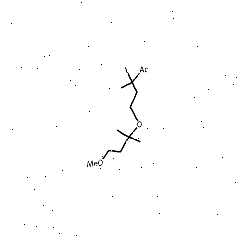 COCCC(C)(C)OCCC(C)(C)C(C)=O